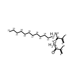 C=C(C)C(N)=O.C=C(C)C(N)=O.CCCCCCCCCCCC